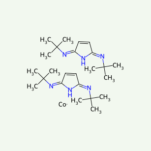 CC(C)(C)N=C1C=CC(=NC(C)(C)C)N1.CC(C)(C)N=C1C=CC(=NC(C)(C)C)N1.[Co]